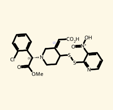 COC(=O)[C@H](c1ccccc1Cl)N1CCC(SSc2ncccc2[N+](=O)O)/C(=C\C(=O)O)C1